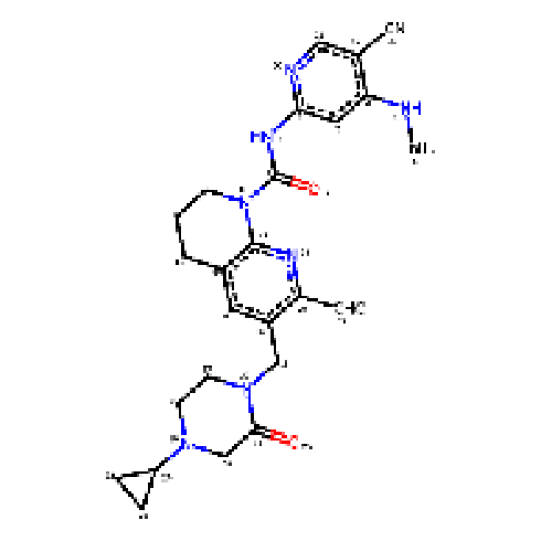 CCCCNc1cc(NC(=O)N2CCCc3cc(CN4CCN(C5CC5)CC4=O)c(C=O)nc32)ncc1C#N